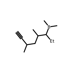 C#CC(C)CC(C)C(CC)B(C)C